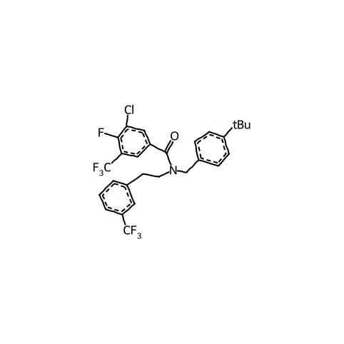 CC(C)(C)c1ccc(CN(CCc2cccc(C(F)(F)F)c2)C(=O)c2cc(Cl)c(F)c(C(F)(F)F)c2)cc1